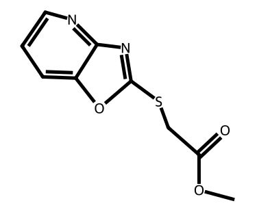 COC(=O)CSc1nc2ncccc2o1